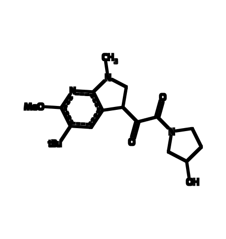 COc1nc2c(cc1C(C)(C)C)C(C(=O)C(=O)N1CCC(O)C1)CN2C